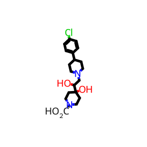 O=C(O)N1CCC(O)(C(O)CN2CCC(c3ccc(Cl)cc3)CC2)CC1